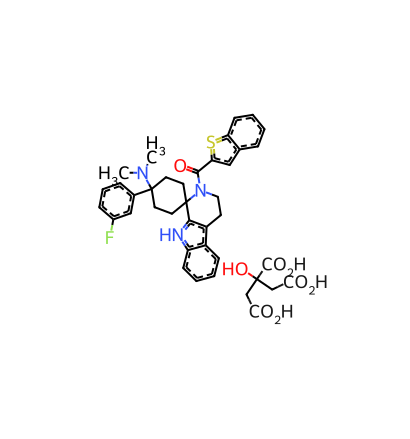 CN(C)C1(c2cccc(F)c2)CCC2(CC1)c1[nH]c3ccccc3c1CCN2C(=O)c1cc2ccccc2s1.O=C(O)CC(O)(CC(=O)O)C(=O)O